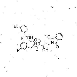 CCc1cccc(CNC[C@@H](O)[C@H](Cc2cc(F)cc(F)c2)NC(=O)C(O)CCN2C(=O)c3ccccc3C2=O)c1